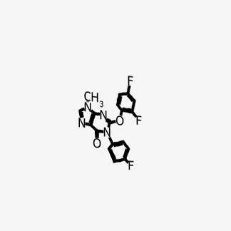 Cn1cnc2c(=O)n(-c3ccc(F)cc3)c(Oc3ccc(F)cc3F)nc21